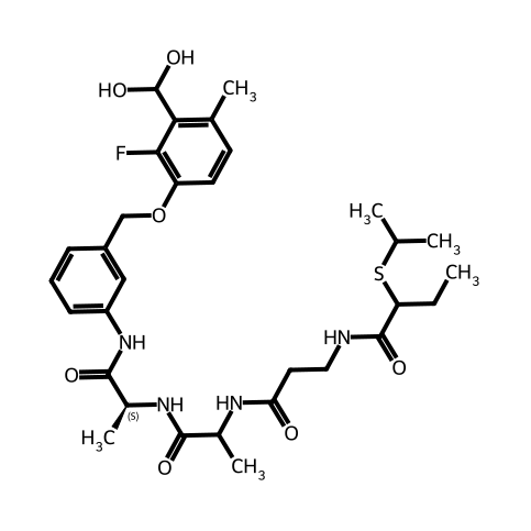 CCC(SC(C)C)C(=O)NCCC(=O)NC(C)C(=O)N[C@@H](C)C(=O)Nc1cccc(COc2ccc(C)c(C(O)O)c2F)c1